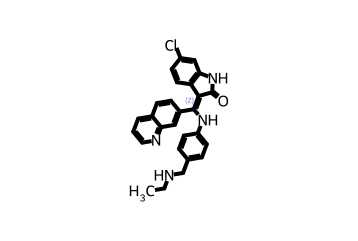 CCNCc1ccc(N/C(=C2\C(=O)Nc3cc(Cl)ccc32)c2ccc3cccnc3c2)cc1